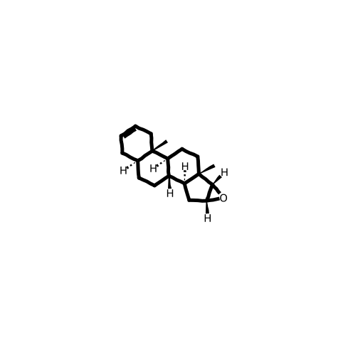 C[C@]12CC=CC[C@@H]1CC[C@@H]1[C@@H]2CC[C@]2(C)[C@@H]3O[C@@H]3C[C@@H]12